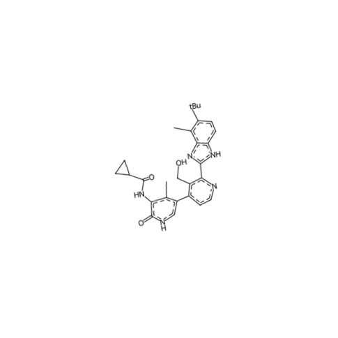 Cc1c(-c2ccnc(-c3nc4c(C)c(C(C)(C)C)ccc4[nH]3)c2CO)c[nH]c(=O)c1NC(=O)C1CC1